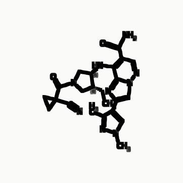 CC[C@@H]1CN(C(=O)C2(C#N)CC2)C[C@H]1Nc1c(C(N)=O)cnn2cc(-c3cn(C)nc3C)nc12